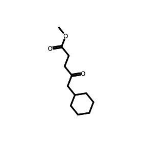 COC(=O)CCC(=O)CC1CCCCC1